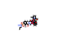 CCCNS(=O)(=O)c1ccc(C)c(C(=O)N2CCC(CCN3[C@@H]4CC[C@H]3C[C@@H](n3c(C)nc5ccccc53)C4)(c3cccc(F)c3)CC2)c1C